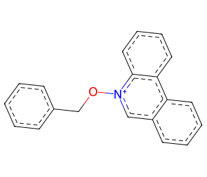 c1ccc(CO[n+]2cc3ccccc3c3ccccc32)cc1